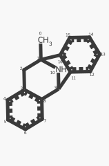 CC12Cc3ccccc3C(N1)c1ccccc12